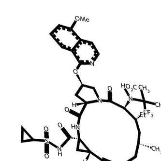 CC[C@@H]1C[C@H](C)CC/C=C\[C@@H]2C[C@@]2(C(=O)NS(=O)(=O)C2CC2)NC(=O)[C@@H]2C[C@@H](Oc3nccc4c(OC)cccc34)CN2C(=O)[C@H]1N(C(=O)O)C(C)(C)C(F)(F)F